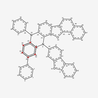 c1ccc(-c2cccc(N(c3ccc4c(c3)oc3ccccc34)c3c(N(c4ccccc4)c4ccccc4)ccc4c3oc3c5ccccc5ccc43)c2)cc1